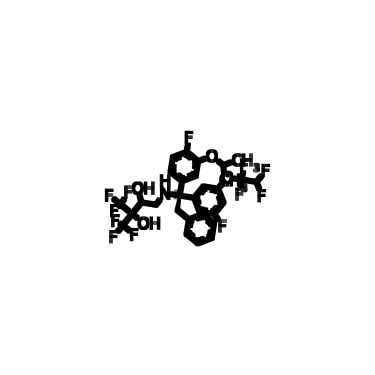 CC(C)Oc1cc([C@@](Cc2ccccc2)(NCC(O)C(O)(C(F)(F)F)C(F)(F)F)c2cc(F)cc(OC(F)(F)C(F)F)c2)ccc1F